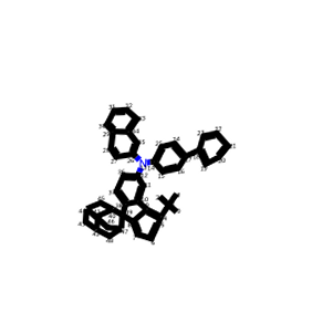 CC(C)(C)c1cccc2c1-c1cc(N(c3ccc(-c4ccccc4)cc3)c3ccc4ccccc4c3)ccc1C21C2CC3CC(C2)CC1C3